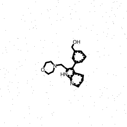 OCc1cccc(-c2c(CN3CCOCC3)[nH]c3ncccc23)c1